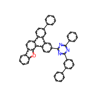 c1ccc(-c2cccc(-c3nc(-c4ccccc4)nc(-c4ccc5c(c4)c4cc(-c6ccccc6)ccc4c4ccc6c7ccccc7oc6c45)n3)c2)cc1